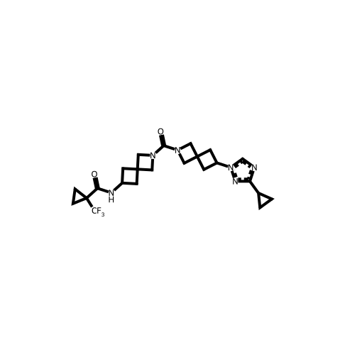 O=C(N1CC2(CC(NC(=O)C3(C(F)(F)F)CC3)C2)C1)N1CC2(CC(n3cnc(C4CC4)n3)C2)C1